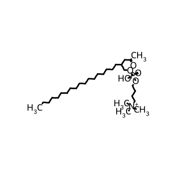 CCCCCCCCCCCCCCCCCCC(COP(=O)(O)OCCCC[N+](C)(C)C)CC(C)=O